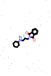 O=C1c2ccccc2C(=O)N1CC(F)CNC1CCCCC1